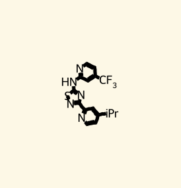 CC(C)c1ccnc(-c2nsc(Nc3cc(C(F)(F)F)ccn3)n2)c1